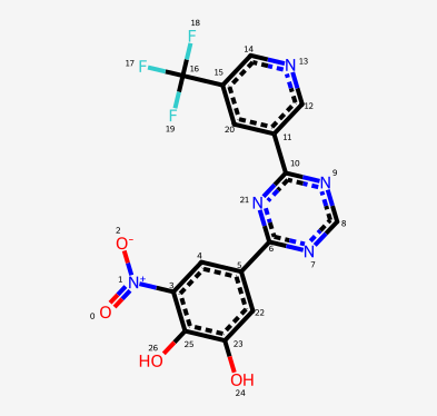 O=[N+]([O-])c1cc(-c2ncnc(-c3cncc(C(F)(F)F)c3)n2)cc(O)c1O